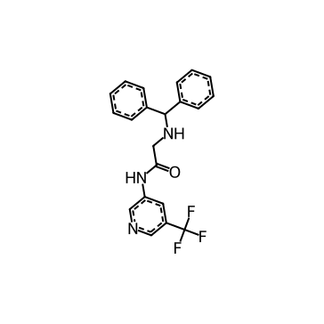 O=C(CNC(c1ccccc1)c1ccccc1)Nc1cncc(C(F)(F)F)c1